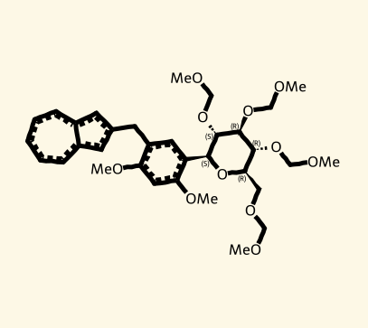 COCOC[C@H]1O[C@@H](c2cc(Cc3cc4cccccc-4c3)c(OC)cc2OC)[C@H](OCOC)[C@@H](OCOC)[C@@H]1OCOC